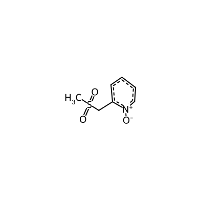 CS(=O)(=O)Cc1cccc[n+]1[O-]